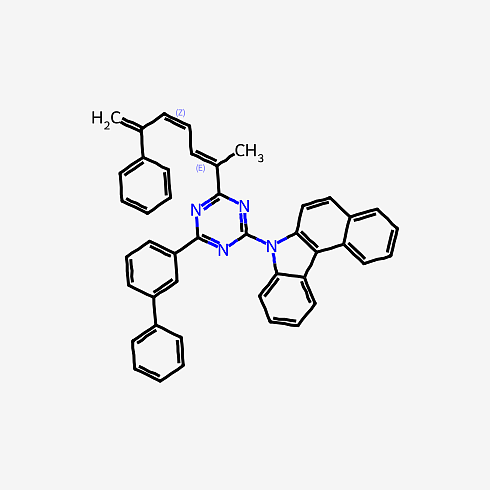 C=C(/C=C\C=C(/C)c1nc(-c2cccc(-c3ccccc3)c2)nc(-n2c3ccccc3c3c4ccccc4ccc32)n1)c1ccccc1